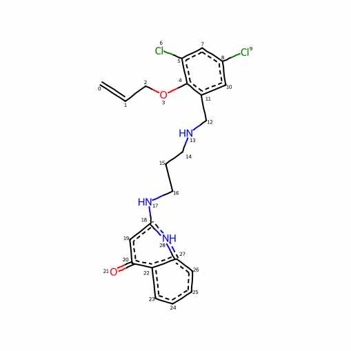 C=CCOc1c(Cl)cc(Cl)cc1CNCCCNc1cc(=O)c2ccccc2[nH]1